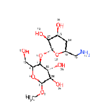 CO[C@H]1OC(CO)[C@@H](O[C@H]2OC(CN)C[C@H](O)C2O)[C@H](O)C1O